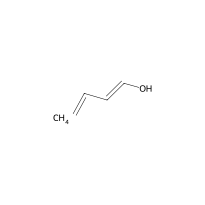 C.C=CC=CO